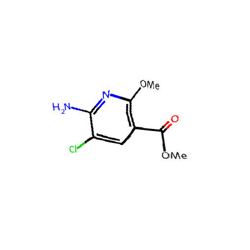 COC(=O)c1cc(Cl)c(N)nc1OC